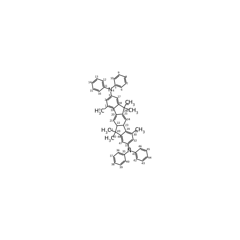 Cc1cc(N(c2ccccc2)c2ccccc2)cc2c1C1=CC3C(C=C1C2(C)C)c1c(C)cc(N(c2ccccc2)c2ccccc2)cc1C3(C)C